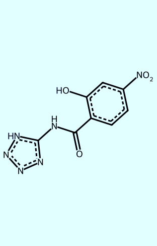 O=C(Nc1nnn[nH]1)c1ccc([N+](=O)[O-])cc1O